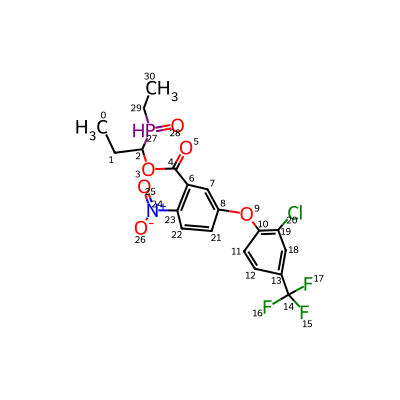 CCC(OC(=O)c1cc(Oc2ccc(C(F)(F)F)cc2Cl)ccc1[N+](=O)[O-])[PH](=O)CC